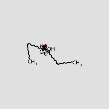 CCCCCCCC/C=C\CCCCCCCC(=O)C(O)(CO)C(O)(C(=O)CCCCCCC/C=C\CCCCCCCC)P(=O)=O